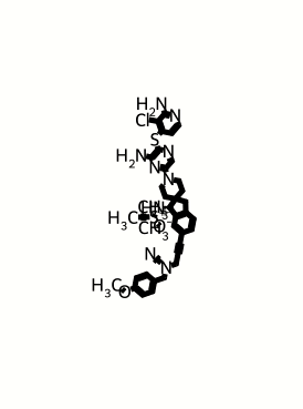 COc1ccc(CN(C#N)CC#Cc2ccc3c(c2)[C@@H](N[S+]([O-])C(C)(C)C)C2(CCN(c4cnc(Sc5ccnc(N)c5Cl)c(N)n4)CC2)C3)cc1